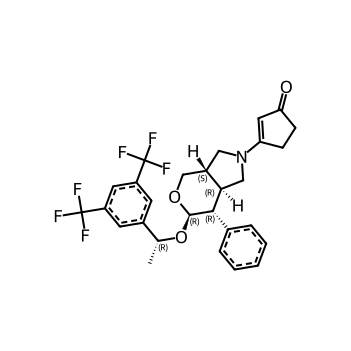 C[C@@H](O[C@H]1OC[C@@H]2CN(C3=CC(=O)CC3)C[C@H]2[C@@H]1c1ccccc1)c1cc(C(F)(F)F)cc(C(F)(F)F)c1